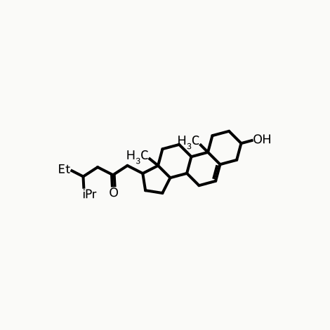 CCC(CC(=O)CC1CCC2C3CC=C4CC(O)CCC4(C)C3CCC12C)C(C)C